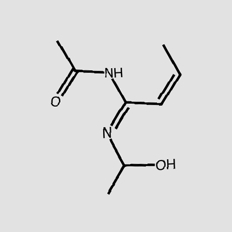 C/C=C\C(=N/C(C)O)NC(C)=O